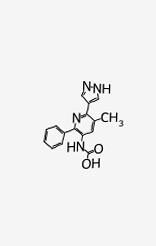 Cc1cc(NC(=O)O)c(-c2ccccc2)nc1-c1cn[nH]c1